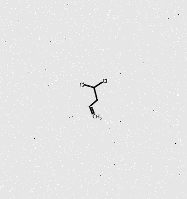 C=[C]CC(Cl)Cl